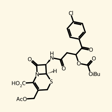 CC(=O)OCC1=C(C(=O)O)N2C(=O)[C@@H](NC(=O)CC(OC(=O)OCC(C)C)C(=O)c3ccc(Cl)cc3)[C@H]2SC1